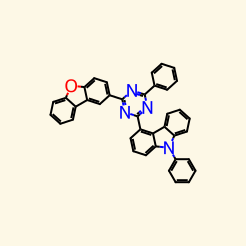 c1ccc(-c2nc(-c3ccc4oc5ccccc5c4c3)nc(-c3cccc4c3c3ccccc3n4-c3ccccc3)n2)cc1